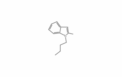 CCCCn1c(C)[c]c2ccccc21